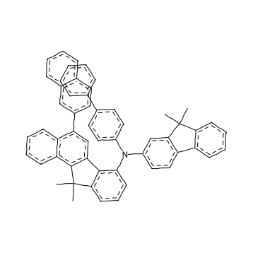 CC1(C)c2ccccc2-c2ccc(N(c3ccc(-c4ccccc4)cc3)c3cccc4c3-c3cc(-c5ccc6ccccc6c5)c5ccccc5c3C4(C)C)cc21